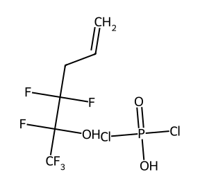 C=CCC(F)(F)C(O)(F)C(F)(F)F.O=P(O)(Cl)Cl